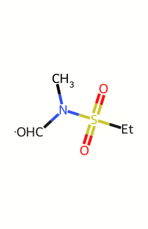 CCS(=O)(=O)N(C)[C]=O